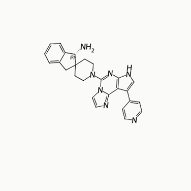 N[C@H]1c2ccccc2CC12CCN(c1nc3[nH]cc(-c4ccncc4)c3c3nccn13)CC2